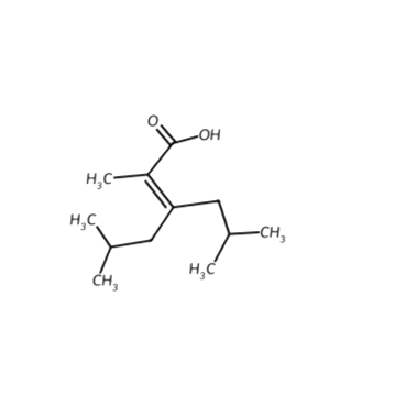 CC(C(=O)O)=C(CC(C)C)CC(C)C